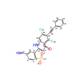 CS(=O)(=O)c1ccc(C#N)cc1-c1cc(=O)c2c(F)c(C#Cc3ccccc3)c(F)cc2[nH]1